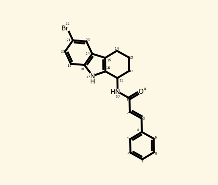 O=C(C=Cc1ccccc1)NC1CCCc2c1[nH]c1ccc(Br)cc21